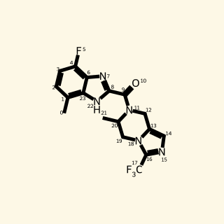 Cc1ccc(F)c2nc(C(=O)N3Cc4cnc(C(F)(F)F)n4CC3C)[nH]c12